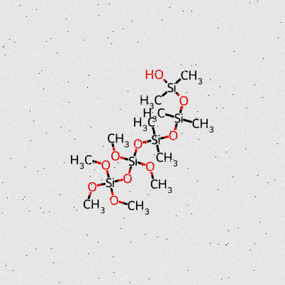 CO[Si](OC)(OC)O[Si](OC)(OC)O[Si](C)(C)O[Si](C)(C)O[Si](C)(C)O